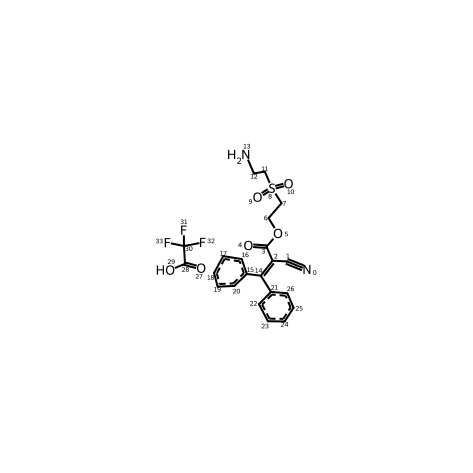 N#CC(C(=O)OCCS(=O)(=O)CCN)=C(c1ccccc1)c1ccccc1.O=C(O)C(F)(F)F